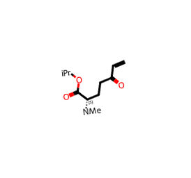 C=CC(=O)CC[C@H](NC)C(=O)OC(C)C